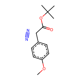 COc1ccc(CC(=O)OC(C)(C)C)cc1.N#N